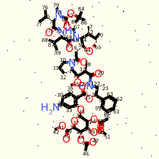 CC[C@H](C)[C@@H]([C@@H](CC(=O)N1CCC[C@H]1[C@H](OC)[C@@H](C)C(=O)N[C@H](C)[C@@H](OC(=O)c1ccc(N)cc1O[C@@H]1O[C@H](C(=O)OC)[C@@H](OC(C)=O)[C@H](OC(C)=O)[C@H]1OC(C)=O)c1ccccc1)OC)N(C)C(=O)[C@@H](NC(=O)[C@H](C(C)C)N(C)C(=O)OC(C)(C)C)C(C)C